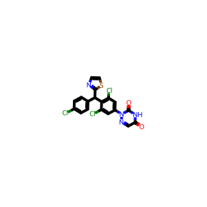 O=c1cnn(-c2cc(Cl)c(C(c3ccc(Cl)cc3)c3nccs3)c(Cl)c2)c(=O)[nH]1